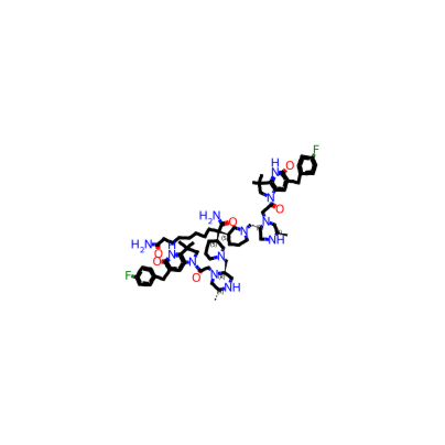 C[C@@H]1CN(CC(=O)N2CC(C)(C)c3[nH]c(=O)c(Cc4ccc(F)cc4)cc32)[C@@H](CN2CCC[C@@H](C(CCCCCCCC(N)=O)(C(N)=O)[C@@H]3CCCN(C[C@H]4CN[C@H](C)CN4CC(=O)N4CC(C)(C)c5[nH]c(=O)c(Cc6ccc(F)cc6)cc54)C3)C2)CN1